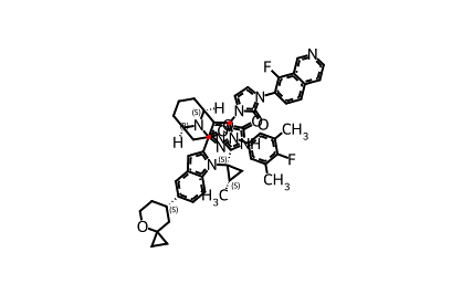 Cc1cc(-n2nc3c(c2-n2ccn(-c4ccc5ccncc5c4F)c2=O)[C@@H]2CCC[C@H](C3)N2C(=O)c2cc3cc([C@H]4CCOC5(CC5)C4)ccc3n2[C@@]2(c3noc(=O)[nH]3)C[C@@H]2C)cc(C)c1F